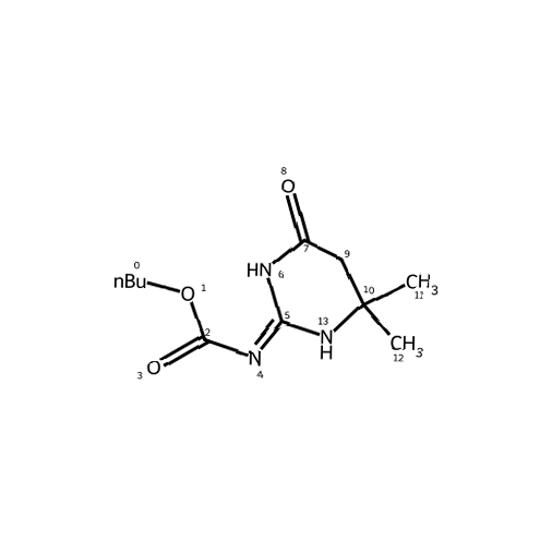 CCCCOC(=O)N=C1NC(=O)CC(C)(C)N1